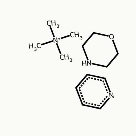 C1COCCN1.C[N+](C)(C)C.c1ccncc1